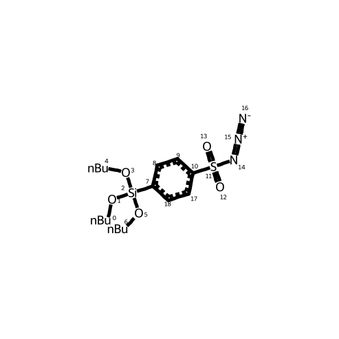 CCCCO[Si](OCCCC)(OCCCC)c1ccc(S(=O)(=O)N=[N+]=[N-])cc1